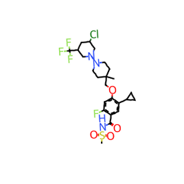 CC1(COc2cc(F)c(C(=O)NS(C)(=O)=O)cc2C2CC2)CCN(N2CC(Cl)CC(C(F)(F)F)C2)CC1